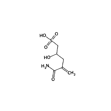 C=C(CC(O)CS(=O)(=O)O)C(N)=O